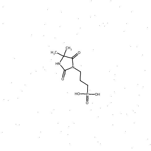 CC1(C)NC(=O)N(CCCP(=O)(O)O)C1=O